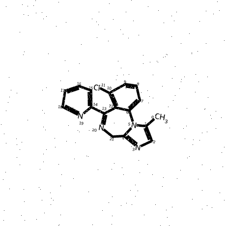 Cc1cnc2n1-c1cccc(Cl)c1C(c1ccccn1)=NC2